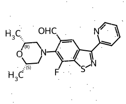 C[C@@H]1CN(c2c(C=O)cc3c(-c4ccccn4)nsc3c2F)C[C@H](C)O1